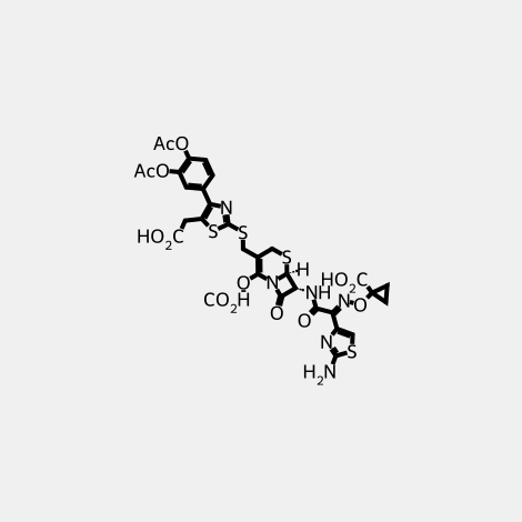 CC(=O)Oc1ccc(-c2nc(SCC3=C(OC(=O)O)N4C(=O)[C@@H](NC(=O)C(=NOC5(C(=O)O)CC5)c5csc(N)n5)[C@@H]4SC3)sc2CC(=O)O)cc1OC(C)=O